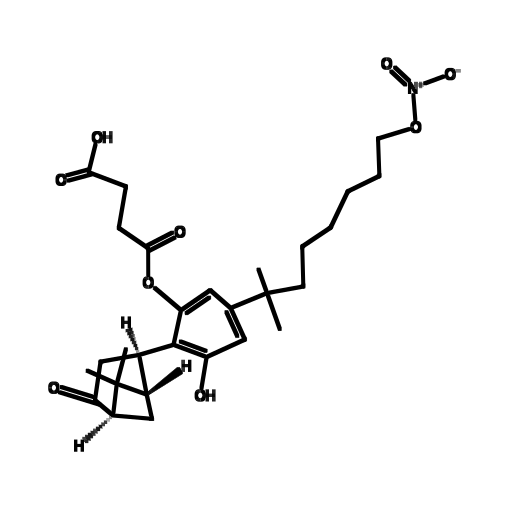 CC(C)(CCCCCCO[N+](=O)[O-])c1cc(O)c([C@@H]2CC(=O)[C@@H]3C[C@@H]2C3(C)C)c(OC(=O)CCC(=O)O)c1